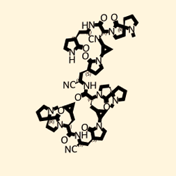 CN1CCC[C@]12CCN([C@H](CC1CC1N1CC[C@@H](C[C@@H](C#N)NC(=O)[C@@H](CC3CC3N3CC[C@@H](C[C@@H](C#N)NC(=O)[C@H](CC4CC4)N4CC[C@]5(CCCN5C)C4=O)C3=O)N3CC[C@@]4(CCCN4C)C3=O)C1=O)C(=O)N[C@H](C#N)C[C@@H]1CCNC1=O)C2=O